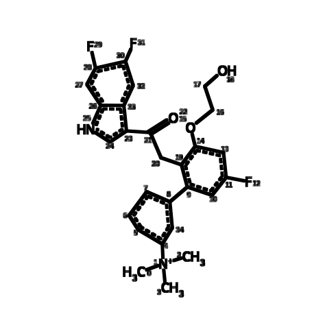 C[N+](C)(C)c1cccc(-c2cc(F)cc(OCCO)c2CC(=O)c2c[nH]c3cc(F)c(F)cc23)c1